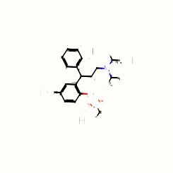 CCS(=O)(=O)Oc1ccc(C)cc1C(CCN(C(C)C)C(C)C)c1ccccc1